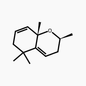 C[C@H]1CC=C2C(C)(C)CC=C[C@]2(C)O1